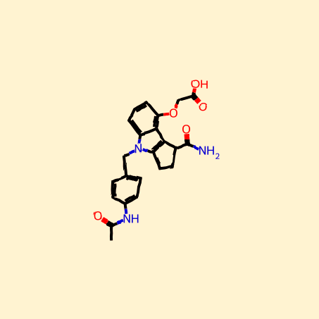 CC(=O)Nc1ccc(Cn2c3c(c4c(OCC(=O)O)cccc42)C(C(N)=O)CC3)cc1